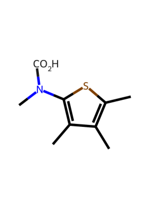 Cc1sc(N(C)C(=O)O)c(C)c1C